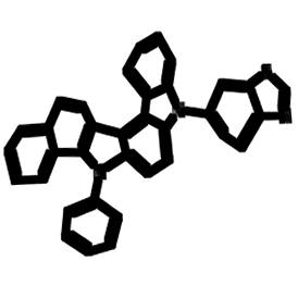 c1ccc(-n2c3ccc4c(c5ccccc5n4-c4ccc5ncsc5c4)c3c3ccc4ccccc4c32)cc1